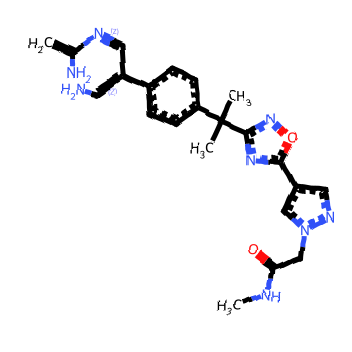 C=C(N)/N=C\C(=C/N)c1ccc(C(C)(C)c2noc(-c3cnn(CC(=O)NC)c3)n2)cc1